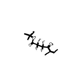 CCC(C)C(=O)C(F)(F)C(F)(F)C(=O)OC(C)(C)C